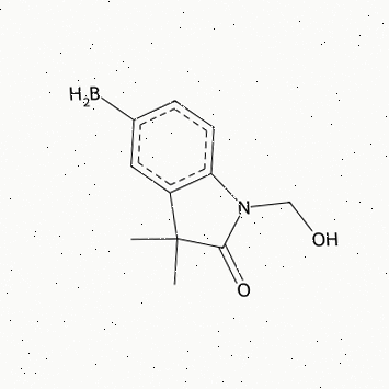 Bc1ccc2c(c1)C(C)(C)C(=O)N2CO